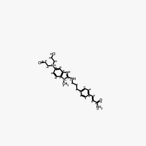 Cn1c(NCCCc2ccc(/C=C/C(N)=O)cc2)nc2cc(N(CCCl)CCCl)ccc21